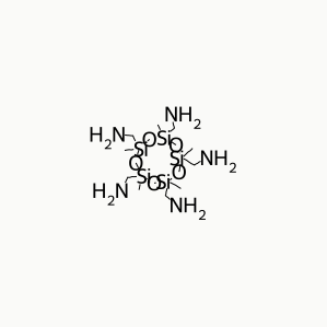 C[Si]1(CN)O[Si](C)(CN)O[Si](C)(CN)O[Si](C)(CN)O[Si](C)(CN)O1